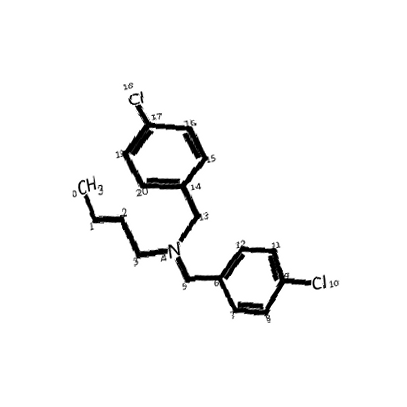 CCCCN(Cc1ccc(Cl)cc1)Cc1ccc(Cl)cc1